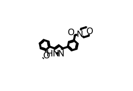 COc1ccccc1-c1cc(-c2cccc(C(=O)N3CCOCC3)c2)n[nH]1